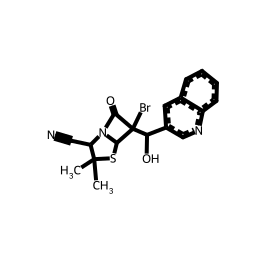 CC1(C)SC2N(C(=O)C2(Br)C(O)c2cnc3ccccc3c2)C1C#N